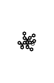 c1ccc(-c2cccc(N3B4c5ccc(N(c6ccccc6)c6ccccc6)cc5N(c5cccc(-c6ccccc6)c5)c5cc6oc7ccccc7c6c(c54)-c4cc(-c5ccccc5)ccc43)c2)cc1